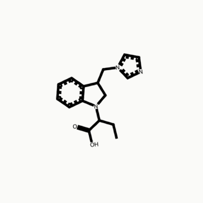 CCC(C(=O)O)N1CC(Cn2ccnc2)c2ccccc21